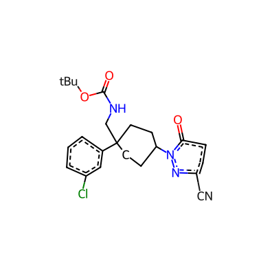 CC(C)(C)OC(=O)NCC1(c2cccc(Cl)c2)CCC(n2nc(C#N)ccc2=O)CC1